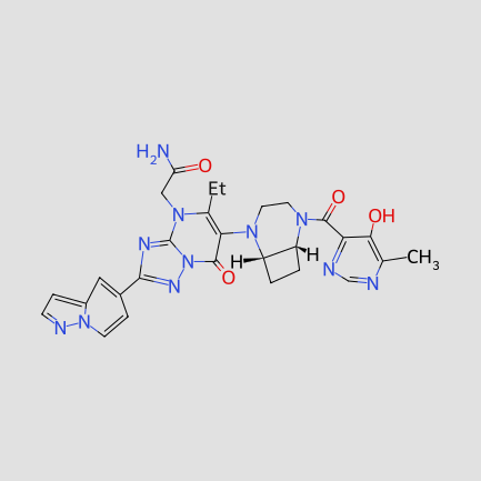 CCc1c(N2CCN(C(=O)c3ncnc(C)c3O)[C@@H]3CC[C@@H]32)c(=O)n2nc(-c3ccn4nccc4c3)nc2n1CC(N)=O